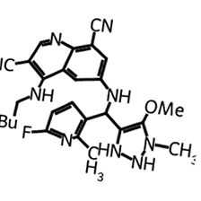 COC1=C(C(Nc2cc(C#N)c3ncc(C#N)c(NCC(C)(C)C)c3c2)c2ccc(F)nc2C)NNN1C